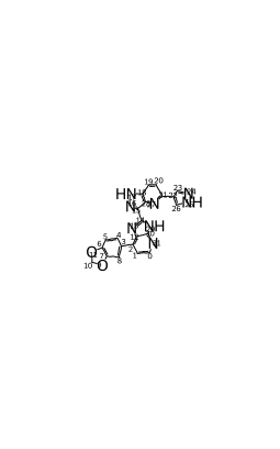 c1cc(-c2ccc3c(c2)OCO3)c2nc(-c3n[nH]c4ccc(-c5cn[nH]c5)nc34)[nH]c2n1